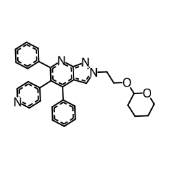 c1ccc(-c2nc3nn(CCOC4CCCCO4)cc3c(-c3ccccc3)c2-c2ccncc2)cc1